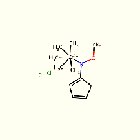 CCCCO[N](C1=CC=CC1)[Zr+2]([CH3])([CH3])([CH3])([CH3])[CH3].[Cl-].[Cl-]